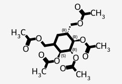 CC(=O)OCC1C[C@H](COC(C)=O)[C@@H](OC(C)=O)[C@H](OC(C)=O)[C@H]1OC(C)=O